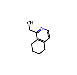 CCc1nccc2c1CCCC2